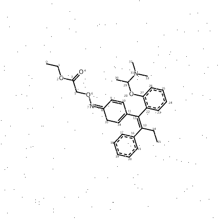 CCOC(=O)CON=C1C=CC(C(=C(CC)c2ccccc2)c2ccccc2OC(C)N(C)C)=CC1